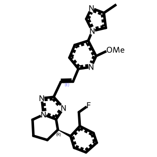 COc1nc(/C=C/c2nc3n(n2)CCC[C@@H]3c2ccccc2CF)ccc1-n1cnc(C)c1